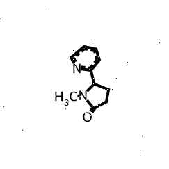 CN1C(=O)C[CH]C1c1ccccn1